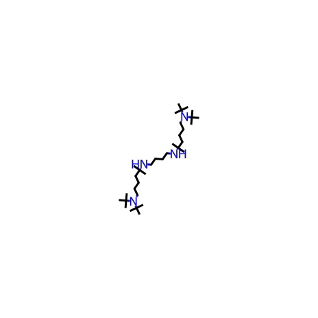 CC(C)(CCCCN(C(C)(C)C)C(C)(C)C)NCCCCNC(C)(C)CCCCN(C(C)(C)C)C(C)(C)C